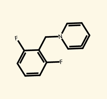 Fc1cccc(F)c1CN1C=C=CC=C1